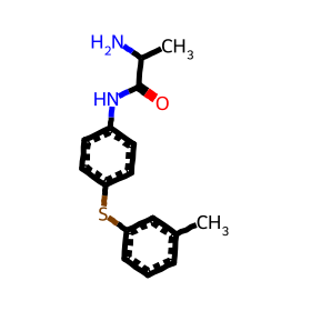 Cc1cccc(Sc2ccc(NC(=O)C(C)N)cc2)c1